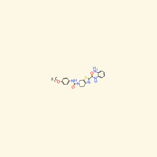 Nc1ccccc1NC(=O)c1nc2c(s1)CN(C(=O)Nc1ccc(OC(F)(F)F)cc1)CC2